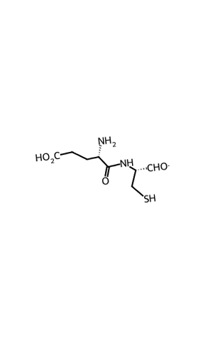 N[C@@H](CCC(=O)O)C(=O)N[C@H]([C]=O)CS